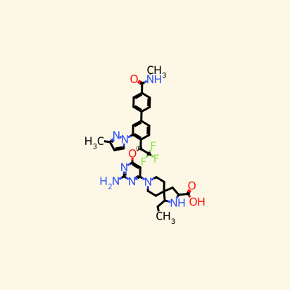 CCC1NC(C(=O)O)CC12CCN(c1cc(O[C@H](c3ccc(-c4ccc(C(=O)NC)cc4)cc3-n3ccc(C)n3)C(F)(F)F)nc(N)n1)CC2